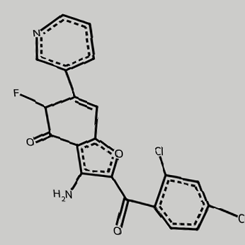 Nc1c(C(=O)c2ccc(Cl)cc2Cl)oc2c1C(=O)C(F)C(c1cccnc1)=C2